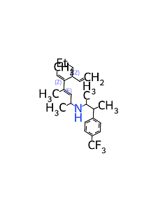 C=CC(=C/CC)/C(=C\C)C(/C)=C/C(C)NC(C)C(C)c1ccc(C(F)(F)F)cc1